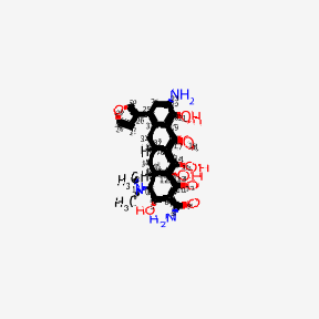 CN(C)[C@@H]1C(O)C(C(N)=O)C(=O)[C@@]2(O)C(O)=C3C(=O)c4c(O)c(N)cc(-c5ccoc5)c4C[C@H]3C[C@@H]12